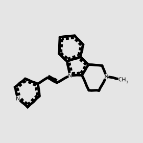 CN1CCc2c(c3ccccc3n2C=Cc2ccncc2)C1